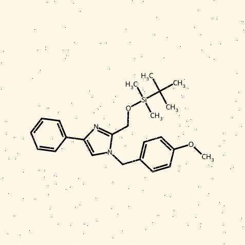 COc1ccc(Cn2cc(-c3ccccc3)nc2CO[Si](C)(C)C(C)(C)C)cc1